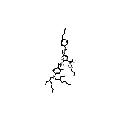 CCCCOC(=O)c1cc(N=Nc2ccc(CCCC)cc2)sc1N=Nc1ccc(N(CC(CC)CCCC)CC(CC)CCCC)cc1C